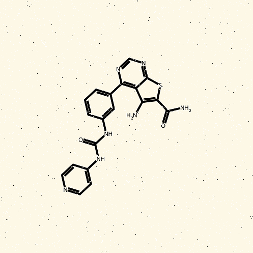 NC(=O)c1sc2ncnc(-c3cccc(NC(=O)Nc4ccncc4)c3)c2c1N